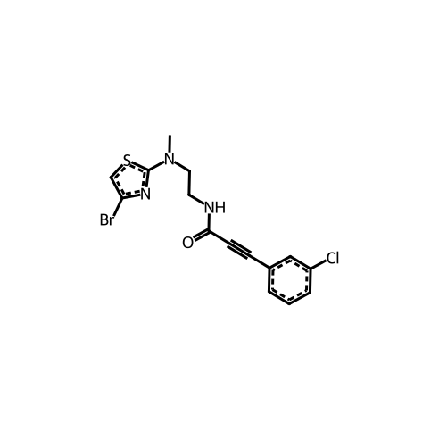 CN(CCNC(=O)C#Cc1cccc(Cl)c1)c1nc(Br)cs1